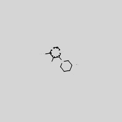 CC(=O)[C@@H]1CCN(c2ncnc(N)c2F)C[C@@H]1N